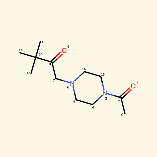 CC(=O)N1CCN(CC(=O)C(C)(C)C)CC1